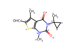 Cc1c(C=O)sc2c1c(=O)n(C1(C)CC1)c(=O)n2C